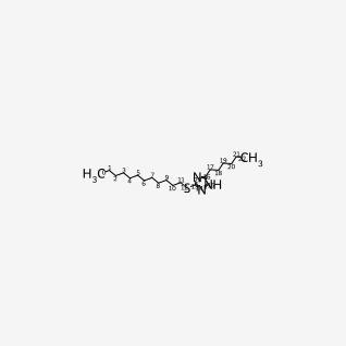 CCCCCCCCCCCCSc1n[nH]c(CCCCCC)n1